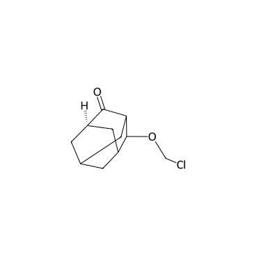 O=C1C2CC3CC(C[C@H]1C3)C2OCCl